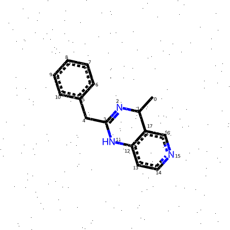 CC1N=C(Cc2ccccc2)Nc2ccncc21